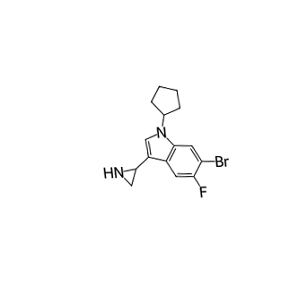 Fc1cc2c(C3CN3)cn(C3CCCC3)c2cc1Br